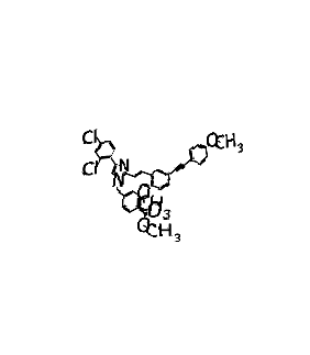 COC(=O)c1ccc(Cn2cc(-c3ccc(Cl)cc3Cl)nc2/C=C/c2cc(C#Cc3ccc(OC)cc3)ccc2OC)cc1